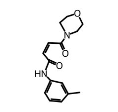 Cc1cccc(NC(=O)/C=C\C(=O)N2CCOCC2)c1